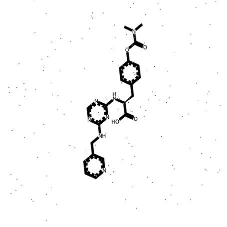 CN(C)C(=O)Oc1ccc(C[C@H](Nc2ncnc(NCc3cccnc3)n2)C(=O)O)cc1